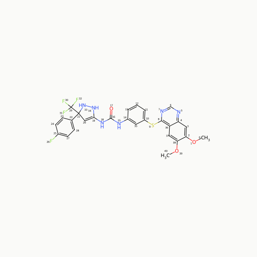 COc1cc2ncnc(Sc3cccc(NC(=O)NC4=CC(c5ccc(F)cc5)(C(F)(F)F)NN4)c3)c2cc1OC